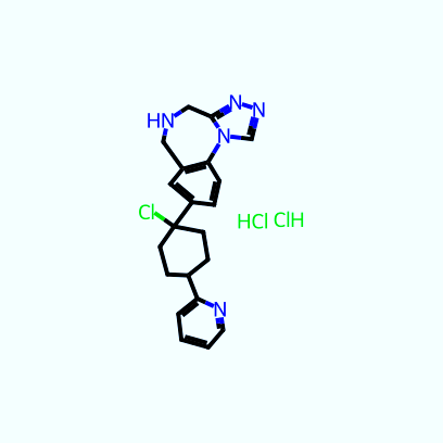 Cl.Cl.ClC1(c2ccc3c(c2)CNCc2nncn2-3)CCC(c2ccccn2)CC1